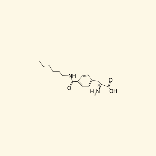 CCCCCCNC(=O)c1ccc(C[C@H](N)C(=O)O)cc1